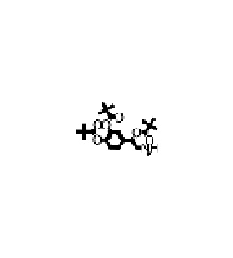 CNCC(OC(=O)C(C)(C)C)c1ccc(OC(=O)C(C)(C)C)c(OC(=O)C(C)(C)C)c1